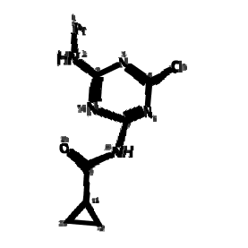 CC(C)Nc1nc(Cl)nc(NC(=O)C2CC2)n1